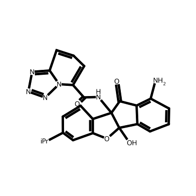 CC(C)c1ccc2c(c1)OC1(O)c3cccc(N)c3C(=O)C21NC(=O)c1cccc2nnnn12